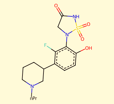 CCCN1CCCC(c2ccc(O)c(N3CC(=O)NS3(=O)=O)c2F)C1